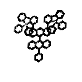 c1ccc(-c2c3ccccc3c(-c3c4cccc(-c5cccc6c5[Si](c5ccccc5)(c5ccccc5)c5ccccc5-6)c4cc4c(-c5cccc6c5[Si](c5ccccc5)(c5ccccc5)c5ccccc5-6)cccc34)c3ccccc23)cc1